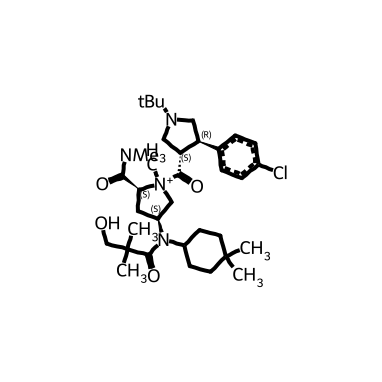 CNC(=O)[C@@H]1C[C@H](N(C(=O)C(C)(C)CO)C2CCC(C)(C)CC2)C[N+]1(C)C(=O)[C@@H]1CN(C(C)(C)C)C[C@H]1c1ccc(Cl)cc1